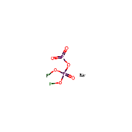 O=P(=O)OP(=O)(OF)OF.[Na]